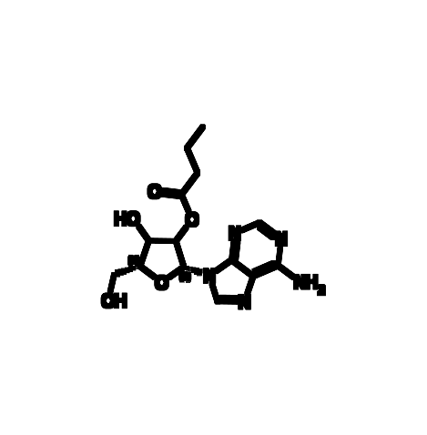 CCCC(=O)OC1C(O)[C@@H](CO)O[C@H]1n1cnc2c(N)ncnc21